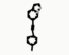 Cc1ccc(C#Cc2ccc3ccnn3c2)cc1